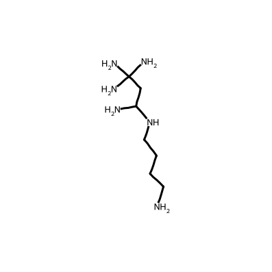 NCCCCNC(N)CC(N)(N)N